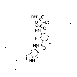 CCCS(=O)(=O)C(CC)S(=O)(=O)Nc1ccc(F)c(C(=O)Nc2cnc3[nH]ccc3c2)c1F